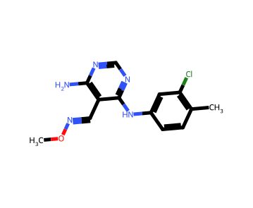 CON=Cc1c(N)ncnc1Nc1ccc(C)c(Cl)c1